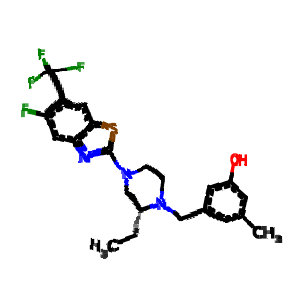 CC[C@@H]1CN(c2nc3cc(F)c(C(F)(F)F)cc3s2)CCN1Cc1cc(C)cc(O)c1